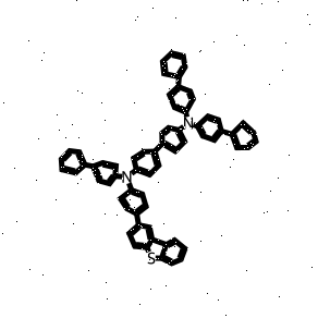 c1ccc(-c2ccc(N(c3ccc(-c4ccccc4)cc3)c3ccc(-c4ccc(N(c5ccc(-c6ccccc6)cc5)c5ccc(-c6ccc7sc8ccccc8c7c6)cc5)cc4)cc3)cc2)cc1